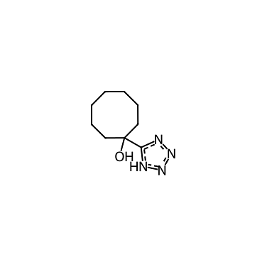 OC1(c2nnn[nH]2)CCCCCCC1